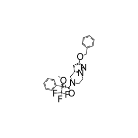 CO[C@](C(=O)N1CCn2nc(OCc3ccccc3)cc2C1)(c1ccccc1)C(F)(F)F